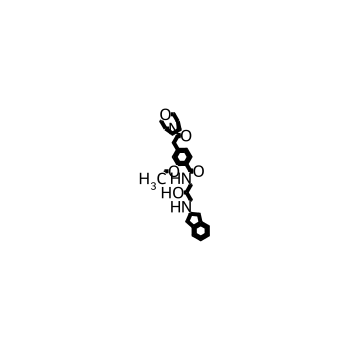 CCOc1cc(CC(=O)N2C3CCC2COC3)ccc1C(=O)NCC(O)CNC1Cc2ccccc2C1